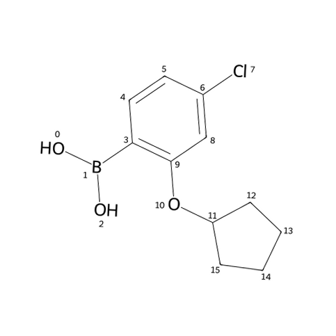 OB(O)c1ccc(Cl)cc1OC1CCCC1